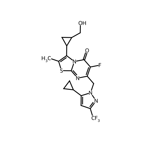 Cc1sc2nc(Cn3nc(C(F)(F)F)cc3C3CC3)c(F)c(=O)n2c1C1CC1CO